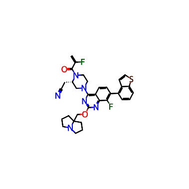 C=C(F)C(=O)N1CCN(c2nc(OCC34CCCN3CCC4)nc3c(F)c(-c4cccc5sccc45)ccc23)C[C@@H]1CC#N